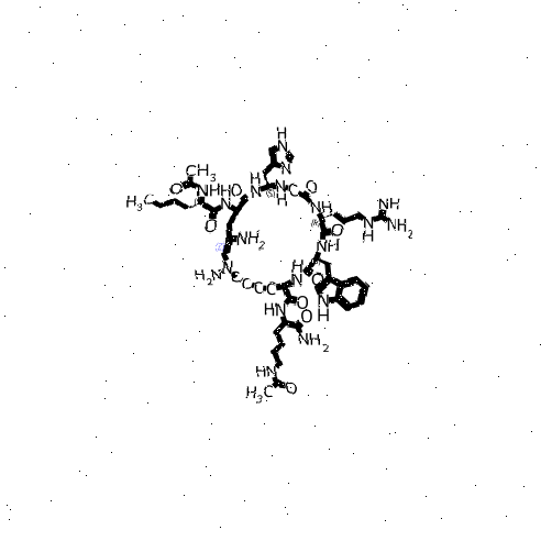 CCCC[C@H](NC(C)=O)C(=O)NC1C/C(N)=C/N(N)CCCCC(C(=O)NC(CCCCNC(C)=O)C(N)=O)NC(=O)[C@H](Cc2c[nH]c3ccccc23)NC(=O)[C@@H](CCCNC(=N)N)NC(=O)CN[C@H](Cc2c[nH]cn2)NC1=O